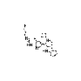 FCCCN1CC(Nc2ncc([C@@H]3c4[nH]c5ccccc5c4CCN3C3=CCC3)cc2F)C1